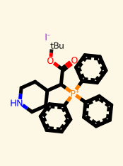 CC(C)(C)OC(=O)C(C1CCNCC1)[P+](c1ccccc1)(c1ccccc1)c1ccccc1.[I-]